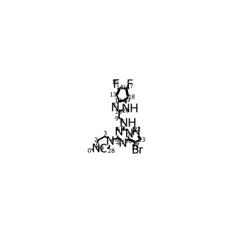 CN1CCN(c2nc(NCc3nc4cc(F)c(F)cc4[nH]3)n3ncc(Br)c3n2)CC1